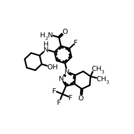 CC1(C)CC(=O)c2c(C(F)(F)F)nn(-c3cc(F)c(C(N)=O)c(NC4CCCCC4O)c3)c2C1